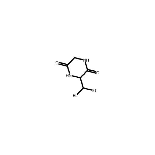 CCC(CC)C1NC(=O)CNC1=O